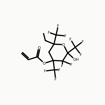 C=CC(=O)OC1(C(F)(F)F)CC(CC)(C(F)(F)F)OC(O)(C(F)(F)F)C1(F)F